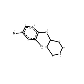 Brc1cnc(OC2CCOCC2)c(Br)c1